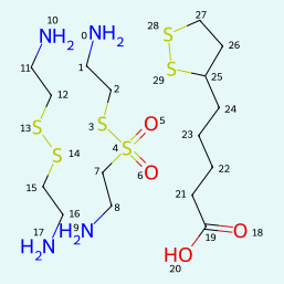 NCCSS(=O)(=O)CCN.NCCSSCCN.O=C(O)CCCCC1CCSS1